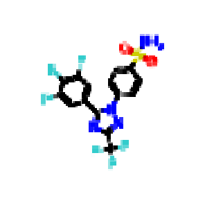 NS(=O)(=O)c1ccc(-n2nc(C(F)(F)F)nc2-c2cc(F)c(F)c(F)c2)cc1